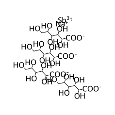 O=C([O-])C(O)C(O)C(O)C(O)CO.O=C([O-])C(O)C(O)C(O)C(O)CO.O=C([O-])C(O)C(O)C(O)C(O)CO.O=C([O-])C(O)C(O)C(O)C(O)CO.[Na+].[Sb+3]